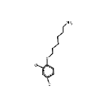 NCCCCCCOc1ccc(Cl)cc1Cl